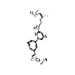 C/C=C\CCNc1cncc(-c2cccc(/C=C/C(=O)O)c2)n1